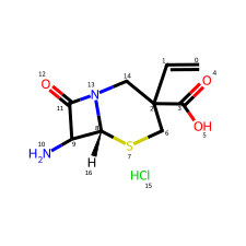 C=CC1(C(=O)O)CS[C@@H]2C(N)C(=O)N2C1.Cl